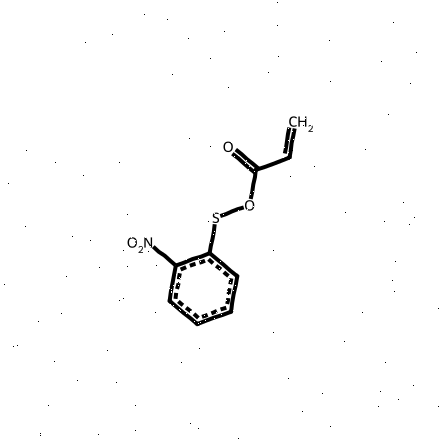 C=CC(=O)OSc1ccccc1[N+](=O)[O-]